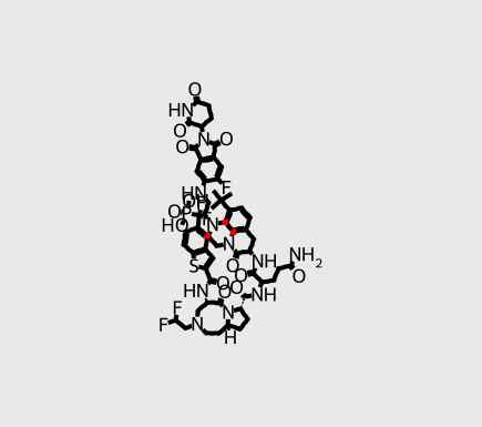 CC(C)(C)c1ccc(CC(NC(=O)C(CCC(N)=O)NC(=O)[C@@H]2CC[C@@H]3CCN(CC(F)F)C[C@H](NC(=O)c4cc5cc(C(F)(F)P(=O)(O)O)ccc5s4)C(=O)N32)C(=O)N2CCN(CCNc3cc4c(cc3F)C(=O)N(C3CCC(=O)NC3=O)C4=O)CC2)cc1